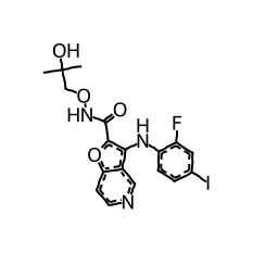 CC(C)(O)CONC(=O)c1oc2ccncc2c1Nc1ccc(I)cc1F